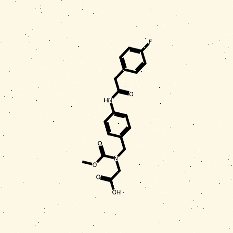 COC(=O)N(CC(=O)O)Cc1ccc(NC(=O)Cc2ccc(F)cc2)cc1